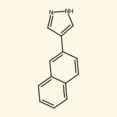 c1ccc2cc(-c3cn[nH]c3)ccc2c1